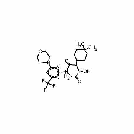 CC1(C)CCC(C(C(=O)N(N)c2nc(N3CCOCC3)cc(C(F)(F)F)n2)N(O)C=O)CC1